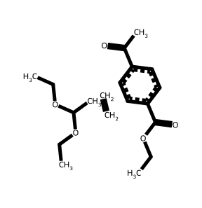 C=C.CCOC(=O)c1ccc(C(C)=O)cc1.CCOC(C)OCC